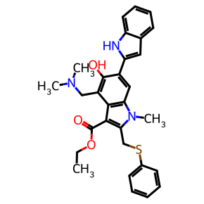 CCOC(=O)c1c(CSc2ccccc2)n(C)c2cc(-c3cc4ccccc4[nH]3)c(O)c(CN(C)C)c12